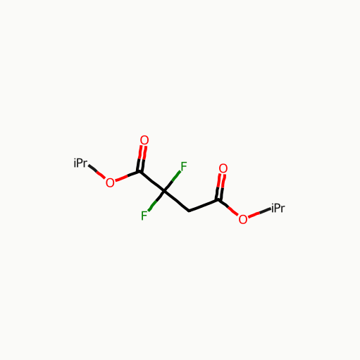 CC(C)OC(=O)CC(F)(F)C(=O)OC(C)C